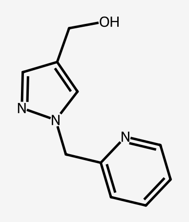 OCc1cnn(Cc2ccccn2)c1